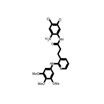 COc1cc(Nc2ncccc2CCC(=O)Nc2cc(Cl)c(Cl)cc2N)cc(OC)c1OC